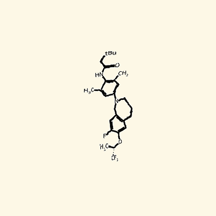 Cc1cc(N2CCCc3cc(O[C@@H](C)C(F)(F)F)c(F)cc3C2)cc(C)c1NC(=O)CC(C)(C)C